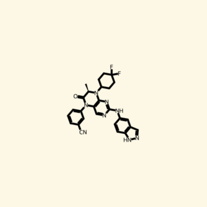 C[C@@H]1C(=O)N(c2cccc(C#N)c2)c2cnc(Nc3ccc4[nH]ncc4c3)nc2N1C1CCC(F)(F)CC1